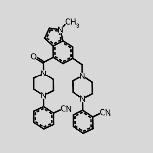 Cn1ccc2c(C(=O)N3CCN(c4ccccc4C#N)CC3)cc(CN3CCN(c4ccccc4C#N)CC3)cc21